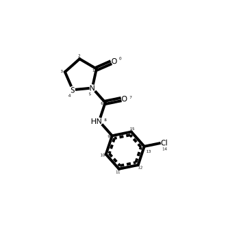 O=C1CCSN1C(=O)Nc1cccc(Cl)c1